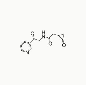 O=C(CC1CC1=O)NCC(=O)c1cccnc1